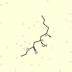 CCCC[C@@H](C)C[C@@H](O)CC(=O)OCC